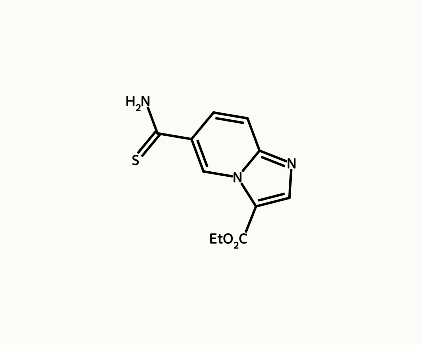 CCOC(=O)c1cnc2ccc(C(N)=S)cn12